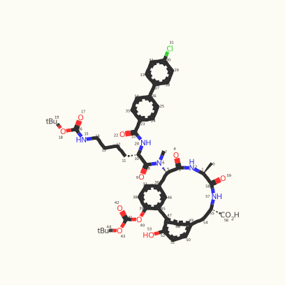 C[C@@H]1NC(=O)[C@@H](N(C)C(=O)[C@H](CCCCNC(=O)OC(C)(C)C)NC(=O)c2ccc(-c3ccc(Cl)cc3)cc2)c2ccc(OC(=O)OC(C)(C)C)c(c2)-c2cc(ccc2O)C[C@@H](C(=O)O)NC1=O